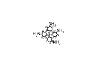 Nc1cccc(C2(c3cccc(N)c3)c3ccc(N)cc3-c3cc(N)ccc32)c1